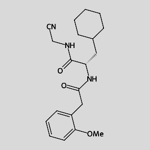 COc1ccccc1CC(=O)N[C@@H](CC1CCCCC1)C(=O)NCC#N